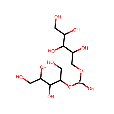 OCC(O)C(O)C(O)COB(O)OC(CO)C(O)C(O)CO